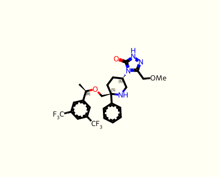 COCc1n[nH]c(=O)n1[C@H]1CC[C@@](CO[C@H](C)c2cc(C(F)(F)F)cc(C(F)(F)F)c2)(c2ccccc2)NC1